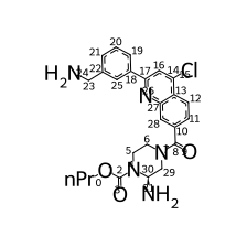 CCCOC(=O)N1CCN(C(=O)c2ccc3c(Cl)cc(-c4cccc(CN)c4)nc3c2)C[C@H]1N